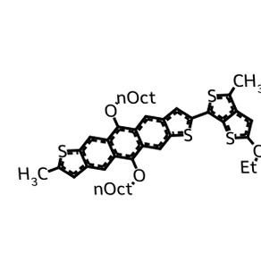 CCCCCCCCOc1c2cc3cc(-c4sc(C)c5cc(OCC)sc45)sc3cc2c(OCCCCCCCC)c2cc3cc(C)sc3cc12